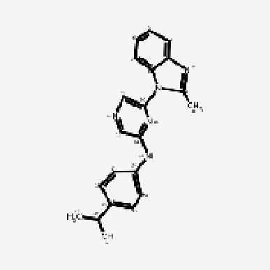 Cc1nc2ccccc2n1-c1cncc(Nc2ccc(C(C)O)cc2)n1